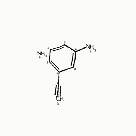 C#Cc1cccc(N)c1.N